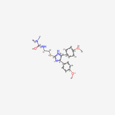 COc1ccc(-c2nc(SCCNC(=O)N(C)C)[nH]c2-c2ccc(OC)cc2)cc1